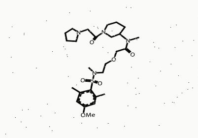 COc1cc(C)c(S(=O)(=O)N(C)CCOCC(=O)N(C)C2CCCN(C(=O)CN3CCCC3)C2)c(C)c1